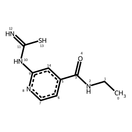 CCNC(=O)c1ccnc(NC(=N)S)c1